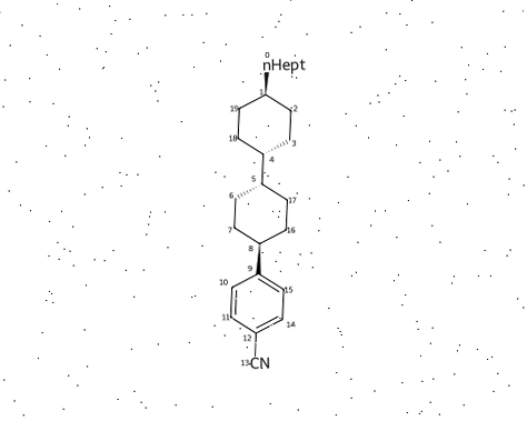 CCCCCCC[C@H]1CC[C@H]([C@H]2CC[C@H](c3ccc(C#N)cc3)CC2)CC1